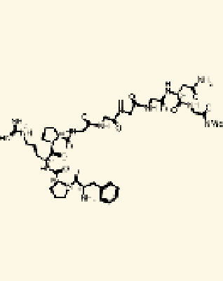 CNC(=O)CNC(=O)[C@H](CC(N)=O)NC(=O)CNC(=O)CNC(=O)CNC(=O)CNC(=O)[C@@H]1CCCN1C(=O)[C@H](CCCNC(=N)N)NC(=O)[C@@H]1CCCN1C(=O)[C@H](N)Cc1ccccc1